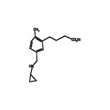 CCOC(=O)CCCc1cc(CNC2CC2)ccc1C